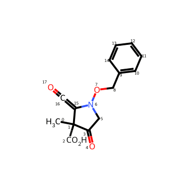 CC1(C(=O)O)C(=O)CN(OCc2ccccc2)C1=C=O